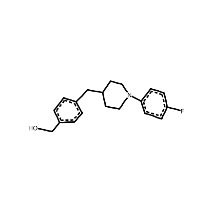 OCc1ccc(CC2CCN(c3ccc(F)cc3)CC2)cc1